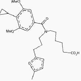 COc1cc(C(=O)N(CCCCC(=O)O)CCCc2ccc(C)o2)cc(OC)c1C1CC1